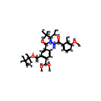 BC(C)(C)C(C)(C)OBc1cc(C(=O)N(NC(=O)c2cccc(OC)c2C)[C@H](CC)C(C)(C)C)ccc1C(OC)OC